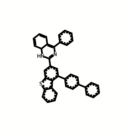 C1=CC2=C(c3ccccc3)N=C(c3cc(-c4ccc(-c5ccccc5)cc4)c4c(c3)sc3ccccc34)NC2C=C1